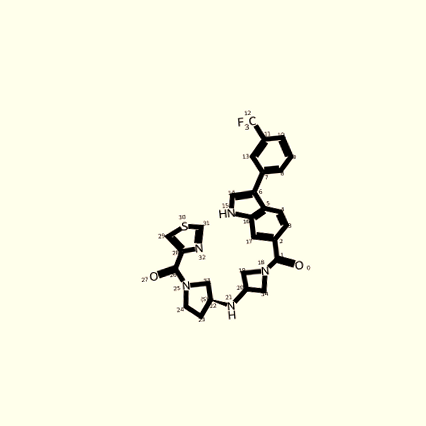 O=C(c1ccc2c(-c3cccc(C(F)(F)F)c3)c[nH]c2c1)N1CC(N[C@H]2CCN(C(=O)c3cscn3)C2)C1